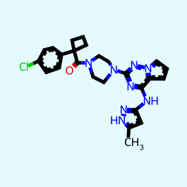 Cc1cc(Nc2nc(N3CCN(C(=O)C4(c5ccc(Cl)cc5)CCC4)CC3)nn3cccc23)n[nH]1